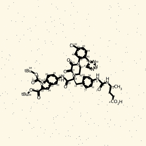 C[C@H](CCC(=O)O)NC(=O)Nc1ccc(C[C@@H](C(=O)Nc2ccc3c(c2)cc(C(=O)OC(C)(C)C)n3C(=O)OC(C)(C)C)N2CCN(c3cc(Cl)ccc3-n3cnnn3)C(=O)C2=O)cc1